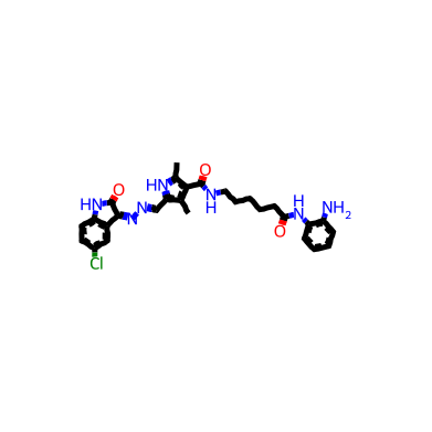 Cc1[nH]c(/C=N/N=C2\C(=O)Nc3ccc(Cl)cc32)c(C)c1C(=O)NCCCCCC(=O)Nc1ccccc1N